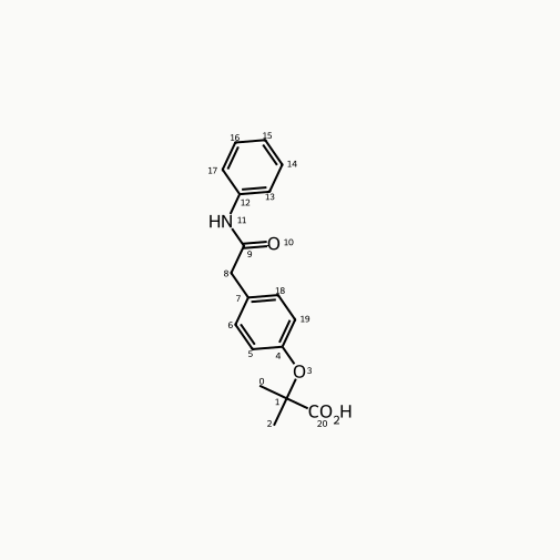 CC(C)(Oc1ccc(CC(=O)Nc2ccccc2)cc1)C(=O)O